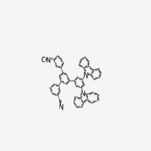 [C-]#[N+]c1cccc(-c2cc(-c3cccc(C#N)c3)cc(-c3cc(-n4c5ccccc5c5ccccc54)cc(-n4c5ccccc5c5ccccc54)c3)c2)c1